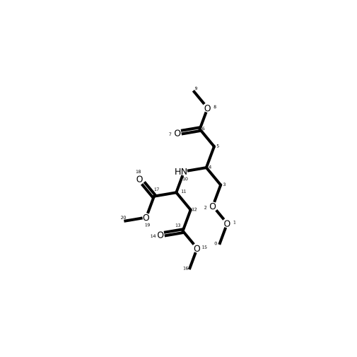 COOCC(CC(=O)OC)NC(CC(=O)OC)C(=O)OC